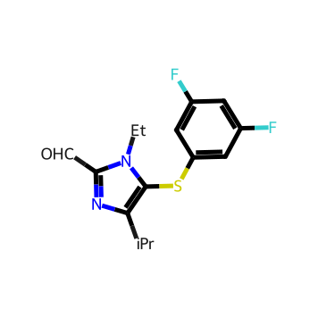 CCn1c(C=O)nc(C(C)C)c1Sc1cc(F)cc(F)c1